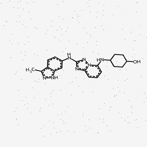 Cc1n[nH]c2cc(Nc3nc4cccc(NC5CCC(O)CC5)n4n3)ccc12